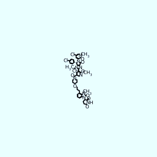 COc1ncc(C(=O)N2CCC(OCCCc3cccc4c3n(C)c(=O)n4C3CCC(=O)NC3=O)CC2)cc1-c1nc2c(n1C(C)C)[C@H](c1ccc(Cl)cc1)N(c1cc(Cl)cn(C)c1=O)C2=O